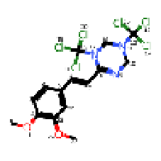 COc1ccc(C=CC2=NCN(C(Cl)(Cl)Cl)CN2C(Cl)(Cl)Cl)cc1OC